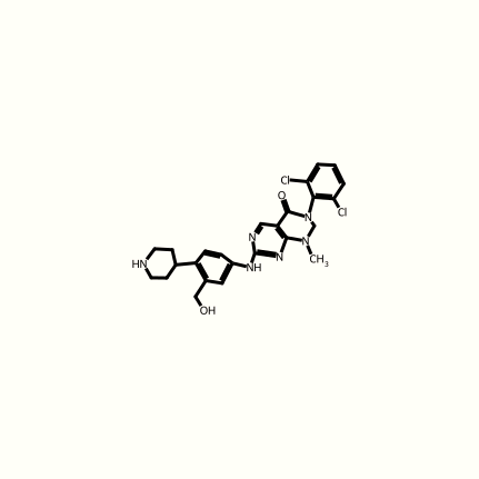 CN1CN(c2c(Cl)cccc2Cl)C(=O)c2cnc(Nc3ccc(C4CCNCC4)c(CO)c3)nc21